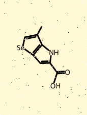 Cc1c[se]c2cc(C(=O)O)[nH]c12